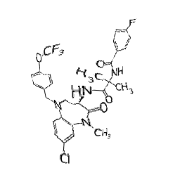 CN1C(=O)[C@H](NC(=O)C(C)(C)NC(=O)c2ccc(F)cc2)CN(Cc2ccc(OC(F)(F)F)cc2)c2ccc(Cl)cc21